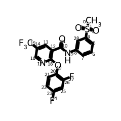 CS(=O)(=O)c1cccc(NC(=O)c2cc(C(F)(F)F)cnc2Oc2ccc(F)cc2F)c1